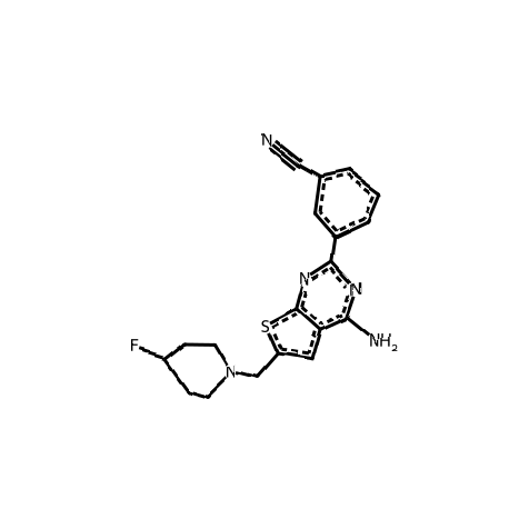 N#Cc1cccc(-c2nc(N)c3cc(CN4CCC(F)CC4)sc3n2)c1